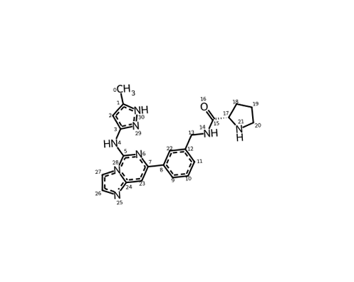 Cc1cc(Nc2nc(-c3cccc(CNC(=O)[C@@H]4CCCN4)c3)cc3nccn23)n[nH]1